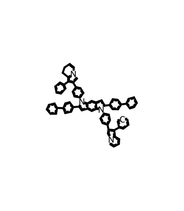 C1=Cn2cc(-c3ccc(-n4c(-c5ccc(-c6ccccc6)cc5)cc5cc6c(cc(-c7ccc(-c8ccccc8)cc7)n6-c6ccc(-c7cn8ccccc8c7-c7ccccc7)cc6)cc54)cc3)c(-c3ccccc3)c2CC1